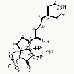 CC(C)[C@H]1C(=O)N(S(C)(=O)=O)[C@H]2CCN(C(=O)CCCC3CCNCC3)[C@H]12.Cl